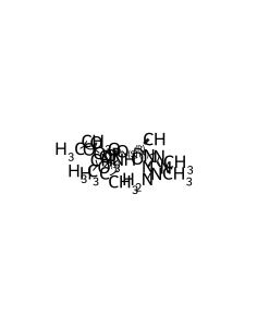 C#C[C@H]1C[C@@H](COP(=O)(N[C@@H](CC(C)C)C(=O)OC(C)C)OCOC(=O)OC(C)C)O[C@H]1n1cnc2c(N(C)C)nc(N)nc21